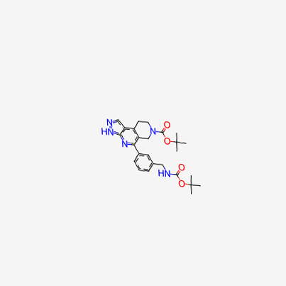 CC(C)(C)OC(=O)NCc1cccc(-c2nc3[nH]ncc3c3c2CN(C(=O)OC(C)(C)C)CC3)c1